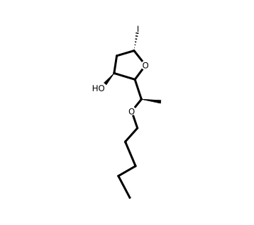 CCCCCO[C@H](C)C1O[C@@H](I)C[C@@H]1O